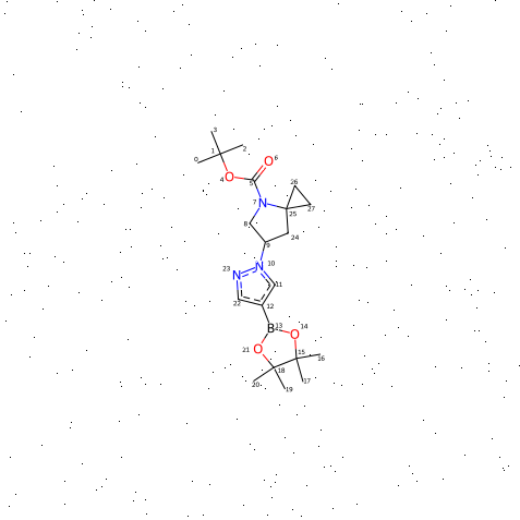 CC(C)(C)OC(=O)N1CC(n2cc(B3OC(C)(C)C(C)(C)O3)cn2)CC12CC2